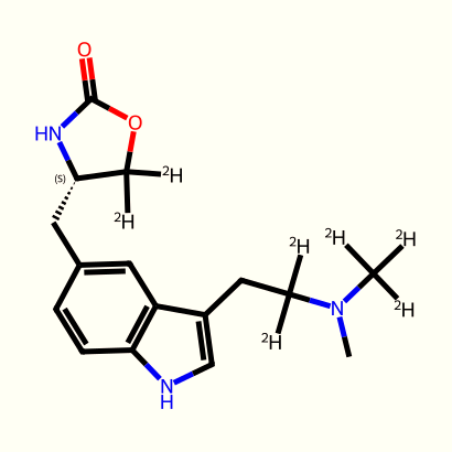 [2H]C1([2H])OC(=O)N[C@H]1Cc1ccc2[nH]cc(CC([2H])([2H])N(C)C([2H])([2H])[2H])c2c1